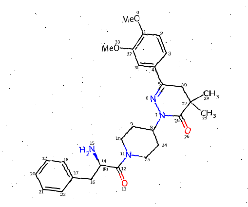 COc1ccc(C2=NN(C3CCN(C(=O)[C@H](N)Cc4ccccc4)CC3)C(=O)C(C)(C)C2)cc1OC